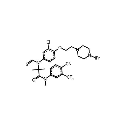 CC(C)N1CCN(CCOc2ccc(N(C=S)C(C)(C)C(=O)N(C)c3ccc(C#N)c(C(F)(F)F)c3)cc2Cl)CC1